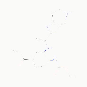 C=C(N[C@@H]1C[C@H](C(=O)OC)CC[C@@H]1NC(=O)OC(C)(C)C)c1nc2c(s1)CN(C)CC2